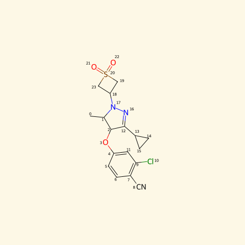 CC1C(Oc2ccc(C#N)c(Cl)c2)C(C2CC2)=NN1C1CS(=O)(=O)C1